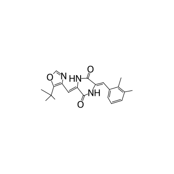 Cc1cccc(/C=c2\[nH]c(=O)/c(=C/c3ncoc3C(C)(C)C)[nH]c2=O)c1C